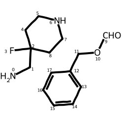 NCC1(F)CCNCC1.O=COCc1ccccc1